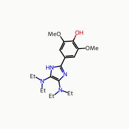 CCN(CC)c1nc(-c2cc(OC)c(O)c(OC)c2)[nH]c1N(CC)CC